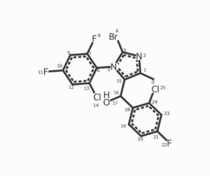 Cc1nc(Br)n(-c2c(F)cc(F)cc2Cl)c1C(O)c1ccc(F)cc1Cl